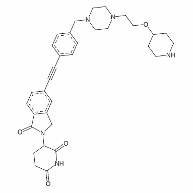 O=C1CCC(N2Cc3cc(C#Cc4ccc(CN5CCN(CCOC6CCNCC6)CC5)cc4)ccc3C2=O)C(=O)N1